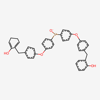 [O-][S+](c1ccc(Oc2ccc(CC3=CCCC=C3O)cc2)cc1)c1ccc(Oc2ccc(Cc3ccccc3O)cc2)cc1